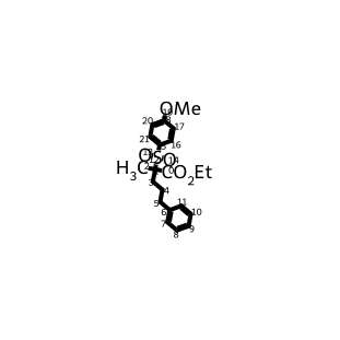 CCOC(=O)C(C)(CCCc1ccccc1)S(=O)(=O)c1ccc(OC)cc1